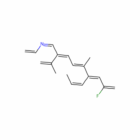 C=C\N=C/C(=C/C=C(\C)C(=CC(=C)F)/C=C\C)C(=C)C